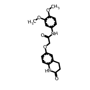 COc1ccc(NC(=O)COc2ccc3c(c2)CCC(=O)N3)cc1OC